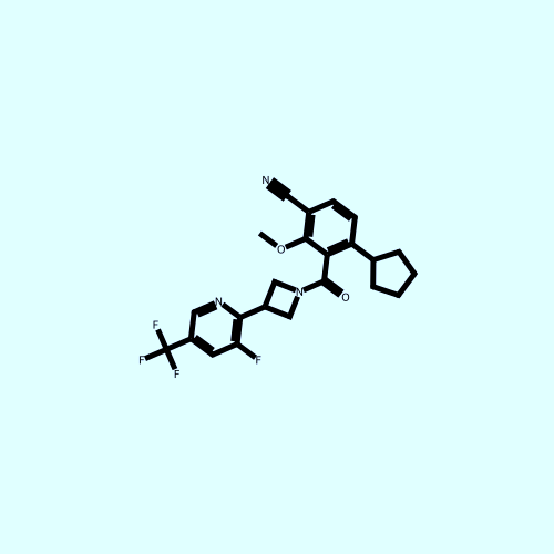 COc1c(C#N)ccc(C2CCCC2)c1C(=O)N1CC(c2ncc(C(F)(F)F)cc2F)C1